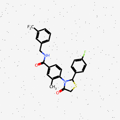 Cc1cc(C(=O)NCc2cccc(C(F)(F)F)c2)ccc1N1C(=O)CSC1c1ccc(F)cc1